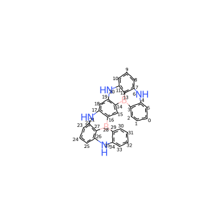 c1ccc2c(c1)Nc1cccc3c1B2c1cc2c(cc1N3)Nc1cccc3c1B2c1ccccc1N3